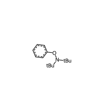 CC(C)(C)N(Oc1ccccc1)C(C)(C)C